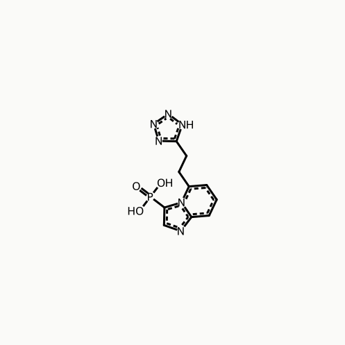 O=P(O)(O)c1cnc2cccc(CCc3nnn[nH]3)n12